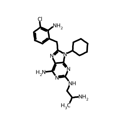 CC(N)CNc1nc(N)c2nc(Cc3cccc(Cl)c3N)n(C3CCCCC3)c2n1